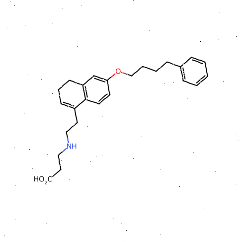 O=C(O)CCNCCC1=CCCc2cc(OCCCCc3ccccc3)ccc21